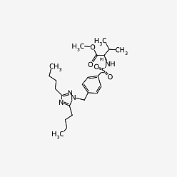 CCCCc1nc(CCCC)n(Cc2ccc(S(=O)(=O)N[C@@H](C(=O)OC)C(C)C)cc2)n1